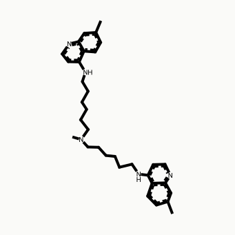 Cc1ccc2c(NCCCCCCN(C)CCCCCCNc3ccnc4cc(C)ccc34)ccnc2c1